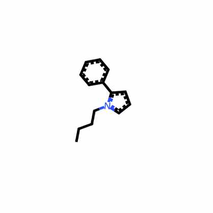 CCCCn1cccc1-c1ccccc1